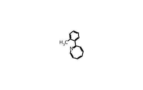 Cc1ccccc1C1=NC=CC=CC=C1